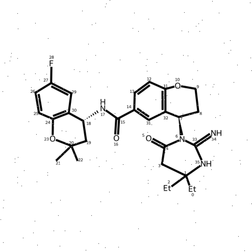 CCC1(CC)CC(=O)N([C@@H]2CCOc3ccc(C(=O)N[C@@H]4CC(C)(C)Oc5ccc(F)cc54)cc32)C(=N)N1